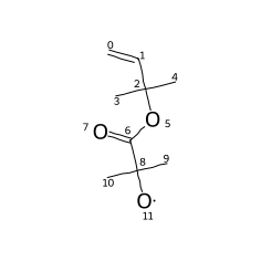 C=CC(C)(C)OC(=O)C(C)(C)[O]